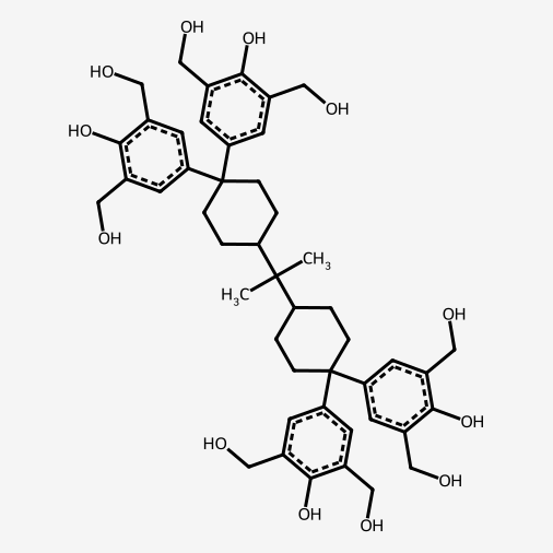 CC(C)(C1CCC(c2cc(CO)c(O)c(CO)c2)(c2cc(CO)c(O)c(CO)c2)CC1)C1CCC(c2cc(CO)c(O)c(CO)c2)(c2cc(CO)c(O)c(CO)c2)CC1